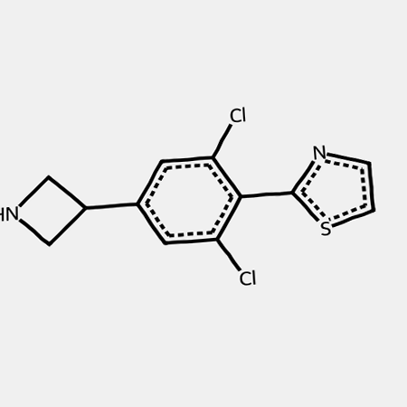 Clc1cc(C2CNC2)cc(Cl)c1-c1nccs1